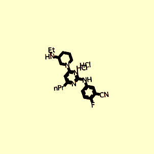 CCCc1cc(N2CCCC(NCC)C2)nc(Nc2ccc(F)c(C#N)c2)n1.Cl.Cl